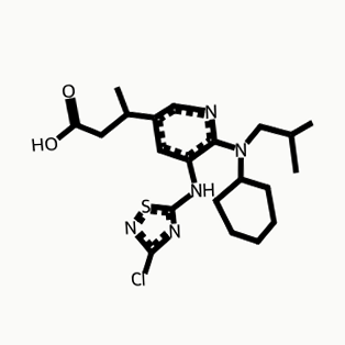 CC(C)CN(c1ncc(C(C)CC(=O)O)cc1Nc1nc(Cl)ns1)C1CCCCC1